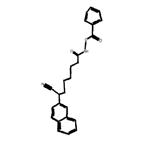 N#CC(CCCCCC(=O)NOC(=O)c1ccccc1)c1ccc2ccccc2c1